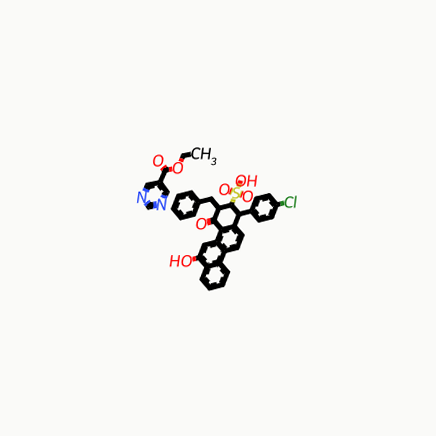 CCOC(=O)c1cncnc1.O=C1c2c(ccc3c2cc(O)c2ccccc23)C(c2ccc(Cl)cc2)C(S(=O)(=O)O)C1Cc1ccccc1